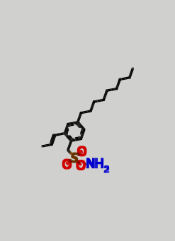 C/C=C/c1cc(CCCCCCCCC)ccc1CS(=O)(=O)ON